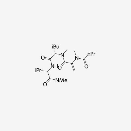 C=C(C(=O)N(C)[C@H](C(=O)N[C@H](C(=O)NC)C(C)C)C(C)CC)N(C)C(=O)CCC